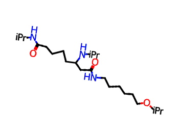 CC(C)NC(=O)CCCCC(CC(=O)NCCCCCCOC(C)C)NC(C)C